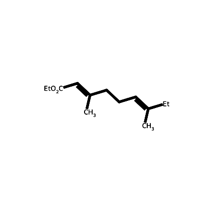 CCOC(=O)/C=C(\C)CC/C=C(\C)CC